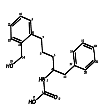 O=C(O)NC(CCCc1ccccc1CO)Cc1ccccc1